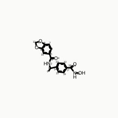 CC(NC(=O)c1ccc2c(c1)OCO2)c1ccc(C(=O)NO)cc1